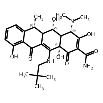 C[C@H]1c2cccc(O)c2C(=O)C2=C(NCC(C)(C)C)[C@]3(O)C(=O)C(C(N)=O)=C(O)[C@@H](N(C)C)C3[C@@H](O)C21